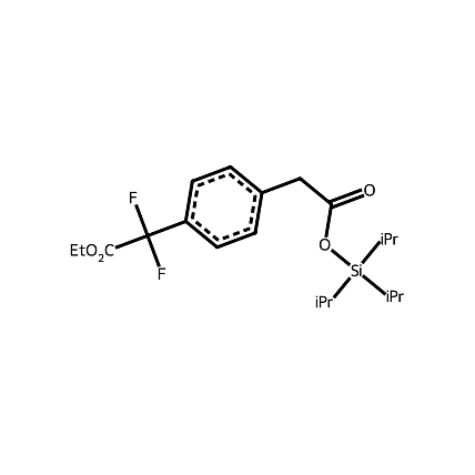 CCOC(=O)C(F)(F)c1ccc(CC(=O)O[Si](C(C)C)(C(C)C)C(C)C)cc1